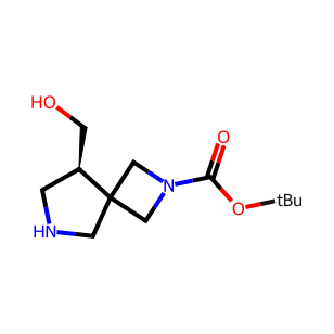 CC(C)(C)OC(=O)N1CC2(CNC[C@H]2CO)C1